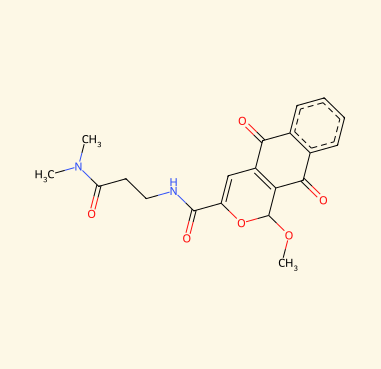 COC1OC(C(=O)NCCC(=O)N(C)C)=CC2=C1C(=O)c1ccccc1C2=O